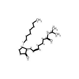 CCCCCCCC[C@H]1CCC(=O)[C@@H]1C/C=C\CCCC(=O)OC(C)C